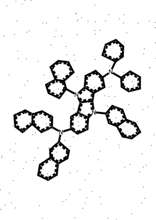 c1ccc(N(c2ccccc2)c2ccc3c(c2)c2c(c4cc(N(c5ccc6ccccc6c5)c5ccc6ccccc6c5)ccc4n2-c2ccc4ccccc4c2)n3-c2cccc3ccccc23)cc1